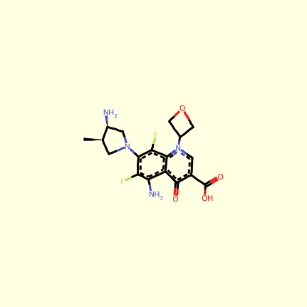 C[C@@H]1CN(c2c(F)c(N)c3c(=O)c(C(=O)O)cn(C4COC4)c3c2F)C[C@@H]1N